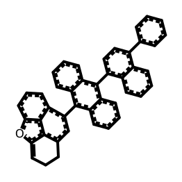 C1=c2oc3cccc4c(-c5c6ccccc6c(-c6ccc(-c7ccccc7)c7ccccc67)c6ccccc56)cc(c2c34)CC1